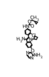 C[C@@H](OC(=O)Nc1ccc(-c2c(N)c3ccc(Oc4nccnc4N)cc3n2C2CCC2)c(Cl)c1)C1CC1